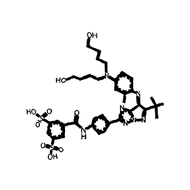 Cc1cc(N(CCCCO)CCCCO)ccc1/N=C1/C(C(C)(C)C)=Nn2nc(-c3ccc(NC(=O)c4cc(S(=O)(=O)O)cc(S(=O)(=O)O)c4)cc3)nc21